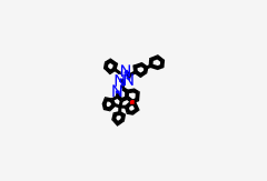 c1ccc(-c2ccc(-c3nc(-c4ccccc4)nc(-c4nc5c(c6ccccc46)C(c4ccccc4)(c4ccccc4)c4ccccc4-5)n3)cc2)cc1